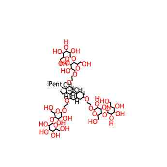 CCC[C@@H](C)[C@H]1CC[C@H]2[C@@H]3[C@H](OCCO[C@H]4OC(CO)[C@H](O[C@@H]5OC(CO)[C@H](O)C(O)[C@H]5O)C(O)[C@H]4O)C[C@@H]4C[C@H](OCCO[C@@H]5OC(CO)[C@@H](O[C@H]6OC(CO)[C@@H](O)[C@H](O)C6O)[C@H](O)C5O)CC[C@]4(C)[C@H]3C[C@H](OCCO[C@@H]3OC(CO)[C@@H](O[C@H]4OC(CO)[C@@H](O)[C@H](O)C4O)[C@H](O)C3O)[C@]12C